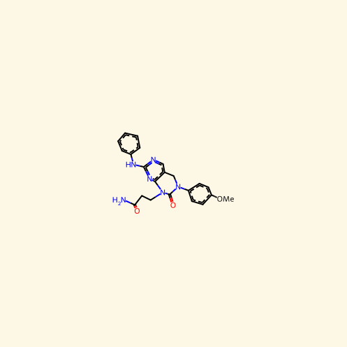 COc1ccc(N2Cc3cnc(Nc4ccccc4)nc3N(CCC(N)=O)C2=O)cc1